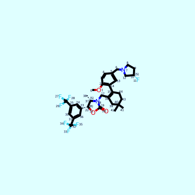 COc1ccc(CN2CC[C@H](F)C2)cc1C1=C(CN2C(=O)O[C@H](c3cc(C(F)(F)F)cc(C(F)(F)F)c3)[C@@H]2C)CC(C)(C)CC1